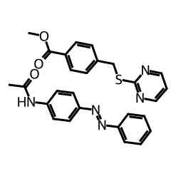 CC(=O)Nc1ccc(N=Nc2ccccc2)cc1.COC(=O)c1ccc(CSc2ncccn2)cc1